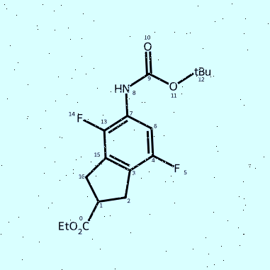 CCOC(=O)C1Cc2c(F)cc(NC(=O)OC(C)(C)C)c(F)c2C1